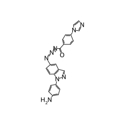 Nc1ccc(-n2ncc3cc(N=[N+]=NC(=O)c4ccc(-n5ccnc5)cc4)ccc32)cc1